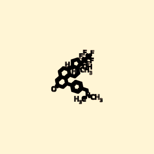 CN(C)Cc1ccc(C2CC(=O)C=C3CC[C@@H]4C(=C32)CC[C@@]2(C)[C@H]4CCC2(O)C(F)(F)C(F)(F)F)cc1